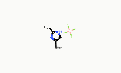 CCCCCCc1c[nH]c(C)n1.F[B-](F)(F)F